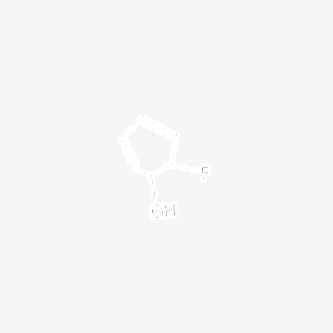 OC1C=CC=C[C]1F